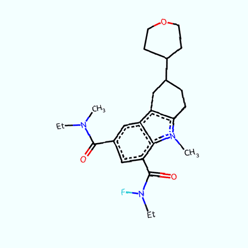 CCN(C)C(=O)c1cc(C(=O)N(F)CC)c2c(c1)c1c(n2C)CCC(C2CCOCC2)C1